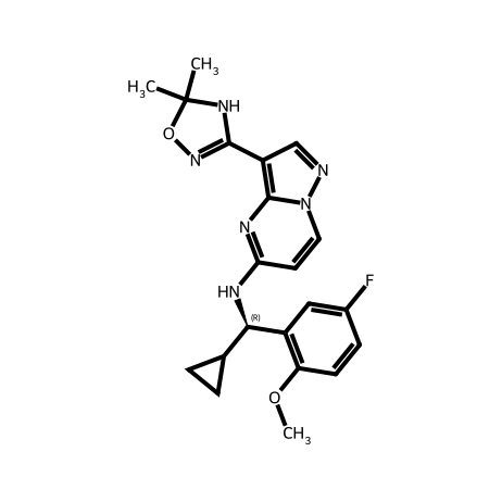 COc1ccc(F)cc1[C@H](Nc1ccn2ncc(C3=NOC(C)(C)N3)c2n1)C1CC1